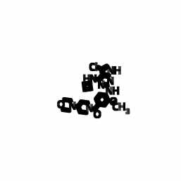 COc1cc(C(=O)N2CCC(N3CCOCC3)CC2)ccc1Nc1nc(NC2CCC2)c2c(Cl)c[nH]c2n1